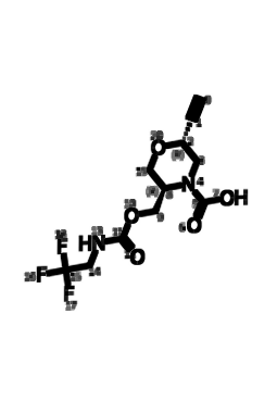 C#C[C@@H]1CN(C(=O)O)[C@@H](COC(=O)NCC(F)(F)F)CO1